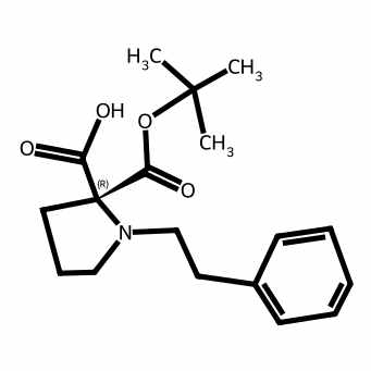 CC(C)(C)OC(=O)[C@]1(C(=O)O)CCCN1CCc1ccccc1